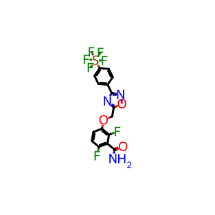 NC(=O)c1c(F)ccc(OCc2nc(-c3ccc(S(F)(F)(F)(F)F)cc3)no2)c1F